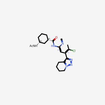 C=N/C(=C\C(=C(/C)Cl)c1nnn2c1CCCC2)NC(=O)[C@H]1CCC[C@@H](NC(C)=O)C1